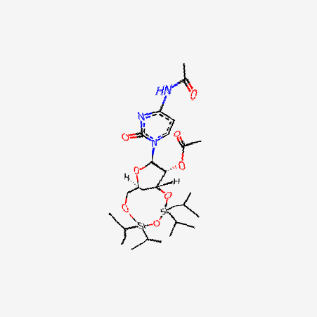 CC(=O)Nc1ccn([C@@H]2O[C@@H]3CO[Si](C(C)C)(C(C)C)O[Si](C(C)C)(C(C)C)O[C@H]3[C@H]2OC(C)=O)c(=O)n1